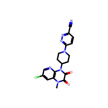 Cn1c(=O)c(=O)n(C2CCN(c3ccc(C#N)nn3)CC2)c2ncc(Cl)cc21